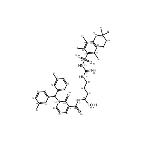 Cc1cccc(C(c2cccc(C)c2)n2cccc(C(=O)N[C@@H](CCCNC(=N)NS(=O)(=O)c3c(C)c(C)c4c(c3C)CCC(C)(C)O4)C(=O)O)c2=O)c1